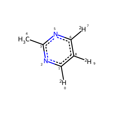 [2H]c1nc(C)nc([2H])c1[2H]